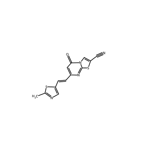 Cc1ncc(/C=C/c2cc(=O)n3cc(C#N)sc3n2)s1